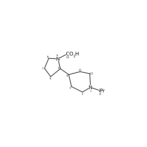 CC(C)N1CCC(C2CCCN2C(=O)O)CC1